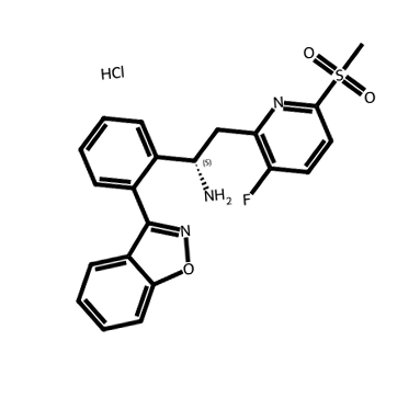 CS(=O)(=O)c1ccc(F)c(C[C@H](N)c2ccccc2-c2noc3ccccc23)n1.Cl